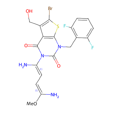 CO/C(N)=C/C=C(\N)n1c(=O)c2c(CO)c(Br)sc2n(Cc2c(F)cccc2F)c1=O